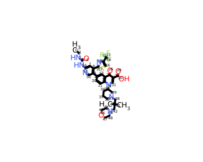 CCNC(=O)Nc1cc(-c2nc(C(F)(F)F)cs2)c(-c2ccc3c(c2)c(=O)c(C(=O)O)cn3[C@@H]2CCCN(CC(C)(C)CN3CCOCC3)C2)cn1